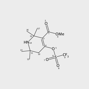 COC(=O)C1=C(OS(=O)(=O)C(F)(F)F)CC(C)(C)NC1(C)C